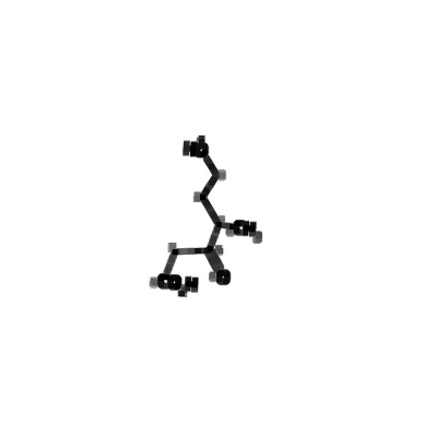 CC(CCO)C(=O)CC(=O)O